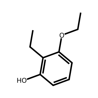 CCOc1cccc(O)c1CC